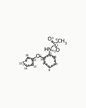 CS(=O)(=O)Nc1ccccc1Oc1ccsc1